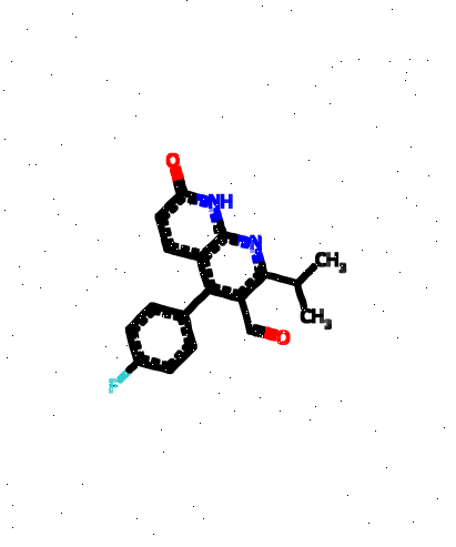 CC(C)c1nc2[nH]c(=O)ccc2c(-c2ccc(F)cc2)c1C=O